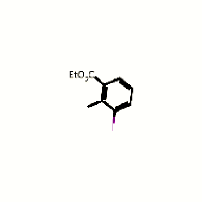 CCOC(=O)c1cccc(I)c1C